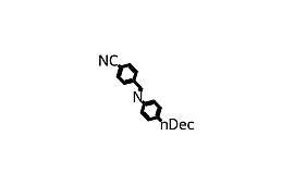 CCCCCCCCCCc1ccc(N=Cc2ccc(C#N)cc2)cc1